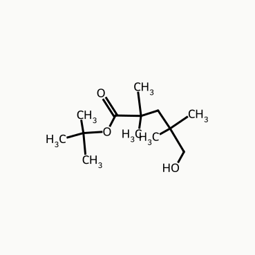 CC(C)(CO)CC(C)(C)C(=O)OC(C)(C)C